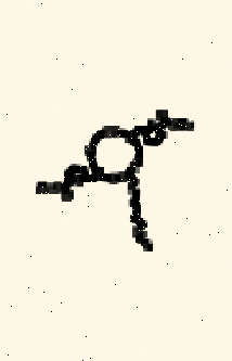 COC(=O)c1cccc(CN2CCOCCOCCN(Cc3cccc(C(=O)OC)n3)CCO[C@H](CSCCCCCN=C=S)COCC2)n1